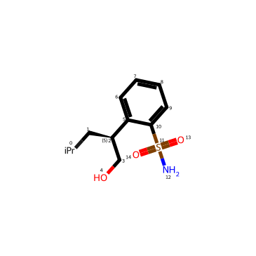 CC(C)C[C@H](CO)c1ccccc1S(N)(=O)=O